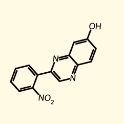 O=[N+]([O-])c1ccccc1-c1cnc2ccc(O)cc2n1